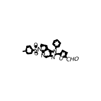 Cc1ccc(S(=O)(=O)n2ccc3c2ncc2nc(-c4ccc(C=O)o4)n(-c4ccccc4)c23)cc1